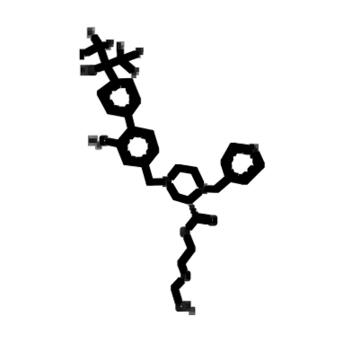 CCOCCOC(=O)[C@@H]1CN(Cc2ccc(-c3ccc(C(O)(C(F)(F)F)C(F)(F)F)cc3)c(C)c2)CCN1Cc1ccncc1